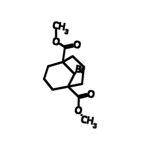 COC(=O)C12CCCC(C(=O)OC)(CCC1)C2Br